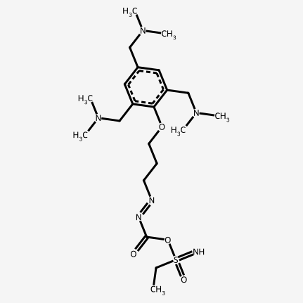 CCS(=N)(=O)OC(=O)N=NCCCOc1c(CN(C)C)cc(CN(C)C)cc1CN(C)C